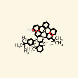 Cc1cc2c3c(c1)N(c1c(-c4ccccc4)cccc1-c1ccccc1)c1ccc(C(C)(C)C)cc1B3c1sc3c(c1N2c1ccc(C(C)(C)C)cc1)C(C)(C)CCC3